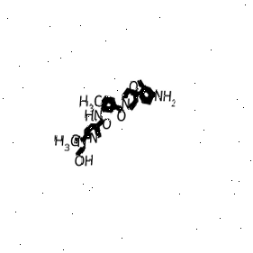 Cc1ccc(C(=O)N2CCC3(CC2)OCc2cc(N)ccc23)cc1NC(=O)c1ccc(N(C)CCO)nc1